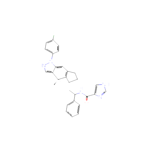 C[C@H]1C2=CNN(c3ccc(F)cc3)C2=CC2=C1[C@@H](CC(NC(=O)c1c[nH]cn1)c1ccccc1)CC2